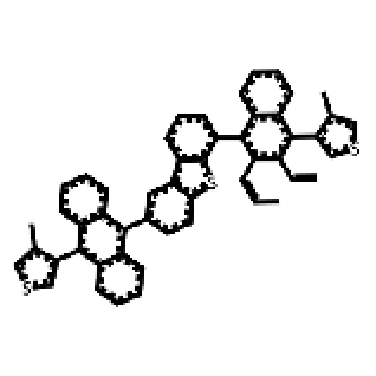 C=Cc1c(/C=C\C)c(-c2cccc3c2sc2ccc(-c4c5ccccc5c(-c5cscc5C)c5ccccc45)cc23)c2ccccc2c1-c1cscc1C